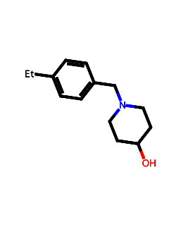 CCc1ccc(CN2CCC(O)CC2)cc1